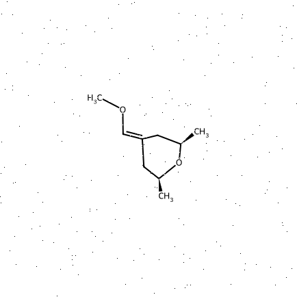 CO/C=C1\C[C@@H](C)O[C@@H](C)C1